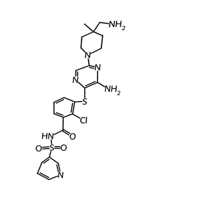 CC1(CN)CCN(c2cnc(Sc3cccc(C(=O)NS(=O)(=O)c4cccnc4)c3Cl)c(N)n2)CC1